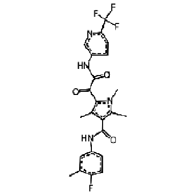 Cc1cc(NC(=O)c2c(C)c(C(=O)C(=O)Nc3ccc(C(F)(F)F)nc3)n(C)c2C)ccc1F